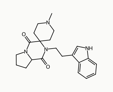 CN1CCC2(CC1)C(=O)N1CCCC1C(=O)N2CCc1c[nH]c2ccccc12